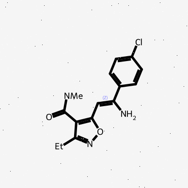 CCc1noc(/C=C(\N)c2ccc(Cl)cc2)c1C(=O)NC